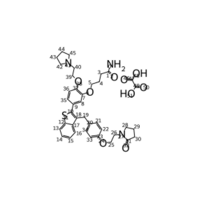 NC(=O)CCCOc1cc(-c2sc3ccccc3c2Cc2ccc(OCCN3CCCC3=O)cc2)ccc1OCCN1CCCC1.O=C(O)C(=O)O